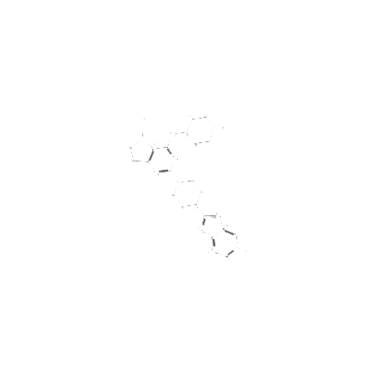 [O-][S+]1CCc2nc(N3CCC(c4nc5ncncc5[nH]4)CC3)nc(NC3CCOCC3)c21